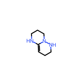 C1=C2NCCCN2NCC1